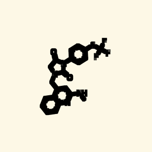 CNc1cc(CN2CC(=O)N(c3ccc(SC(F)(F)F)cc3)C2=O)c2ccccc2n1